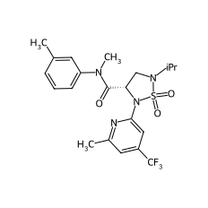 Cc1cccc(N(C)C(=O)[C@@H]2CN(C(C)C)S(=O)(=O)N2c2cc(C(F)(F)F)cc(C)n2)c1